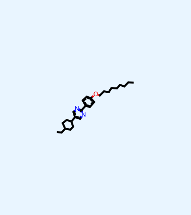 CCCCCCCCCOc1ccc(-c2ncc(C3CCC(CC)CC3)cn2)cc1